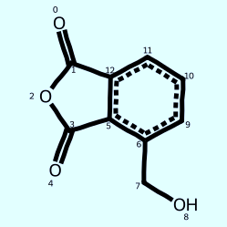 O=C1OC(=O)c2c(CO)cccc21